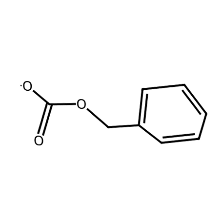 [O]C(=O)OCc1ccccc1